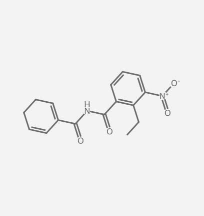 CCc1c(C(=O)NC(=O)C2=CCCC=C2)cccc1[N+](=O)[O-]